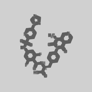 Cn1c(=O)n(-c2ccc(C[C@H](NC(=O)c3c(F)cc(NS(=O)(=O)c4ccc(-n5cncn5)cn4)cc3F)C(=O)O)cc2)c(=O)c2ccncc21